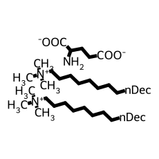 CCCCCCCCCCCCCCCCCC[N+](C)(C)C.CCCCCCCCCCCCCCCCCC[N+](C)(C)C.NC(CCC(=O)[O-])C(=O)[O-]